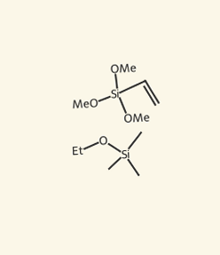 C=C[Si](OC)(OC)OC.CCO[Si](C)(C)C